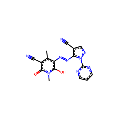 Cc1c(N=Nc2c(C#N)cnn2-c2ncccn2)c(O)n(C)c(=O)c1C#N